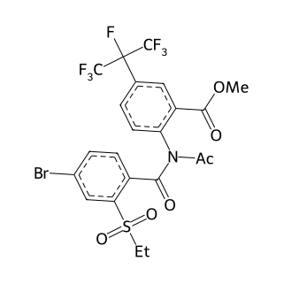 CCS(=O)(=O)c1cc(Br)ccc1C(=O)N(C(C)=O)c1ccc(C(F)(C(F)(F)F)C(F)(F)F)cc1C(=O)OC